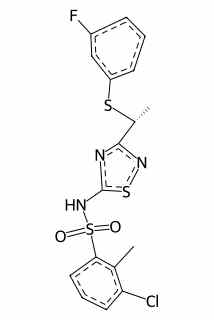 Cc1c(Cl)cccc1S(=O)(=O)Nc1nc([C@@H](C)Sc2cccc(F)c2)ns1